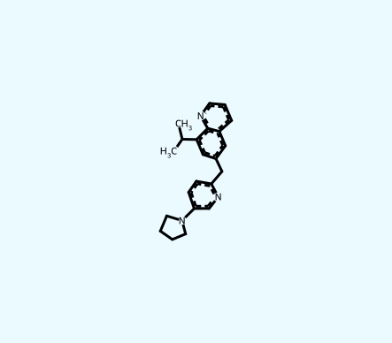 CC(C)c1cc(Cc2ccc(N3CCCC3)cn2)cc2cccnc12